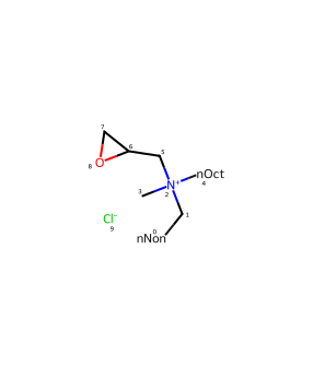 CCCCCCCCCC[N+](C)(CCCCCCCC)CC1CO1.[Cl-]